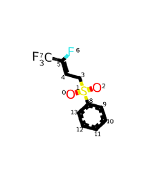 O=S(=O)(CC=C(F)C(F)(F)F)c1ccccc1